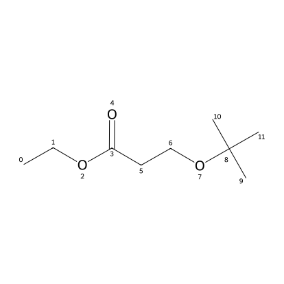 CCOC(=O)CCOC(C)(C)C